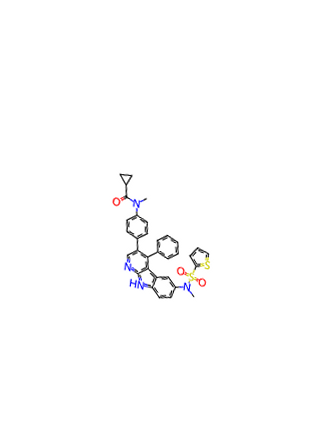 CN(C(=O)C1CC1)c1ccc(-c2cnc3[nH]c4ccc(N(C)S(=O)(=O)c5cccs5)cc4c3c2-c2ccccc2)cc1